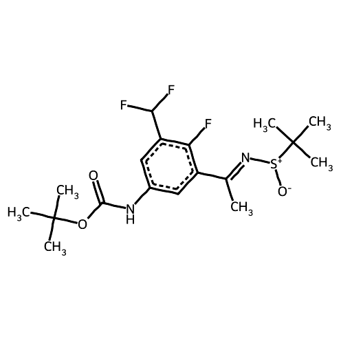 CC(=N[S+]([O-])C(C)(C)C)c1cc(NC(=O)OC(C)(C)C)cc(C(F)F)c1F